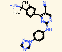 CC(C)(N)c1ccc(-c2nc(Nc3ccc(-n4cncn4)cc3)ncc2C#N)cc1